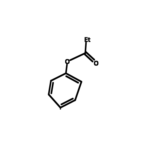 CCC(=O)Oc1cc[c]cc1